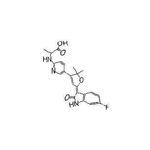 CC(Nc1ccc(C2=C/C(=C3\C(=O)Nc4cc(F)ccc43)OC2(C)C)cn1)C(=O)O